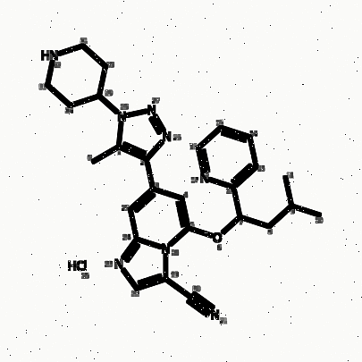 Cc1c(-c2cc(OC(CC(C)C)c3ccccn3)n3c(C#N)cnc3c2)nnn1C1CCNCC1.Cl